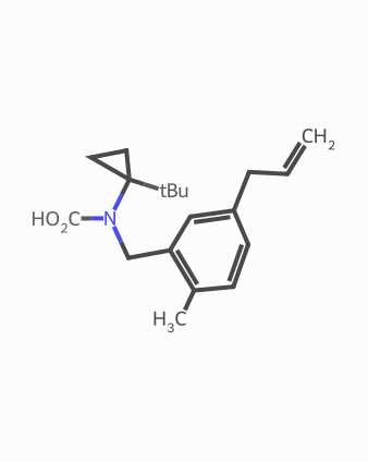 C=CCc1ccc(C)c(CN(C(=O)O)C2(C(C)(C)C)CC2)c1